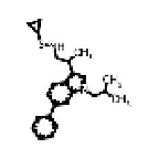 CC(C)Cn1cc(C(C)CNSC2CC2)c2ccc(-c3ccccc3)cc21